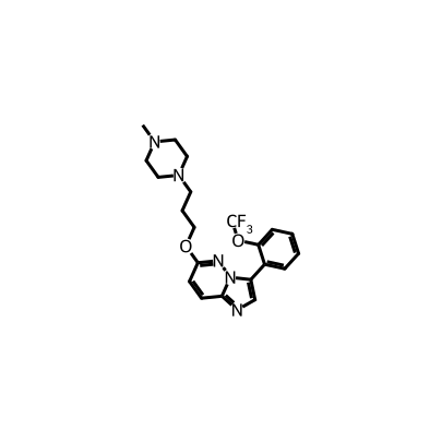 CN1CCN(CCCOc2ccc3ncc(-c4ccccc4OC(F)(F)F)n3n2)CC1